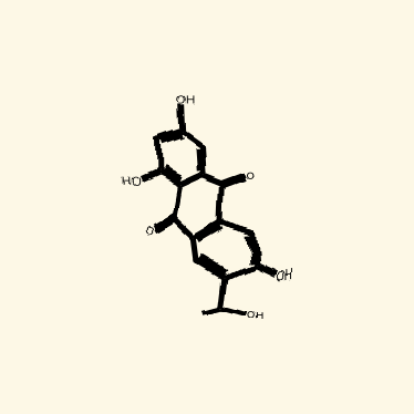 CC(O)c1cc2c(cc1O)C(=O)c1cc(O)cc(O)c1C2=O